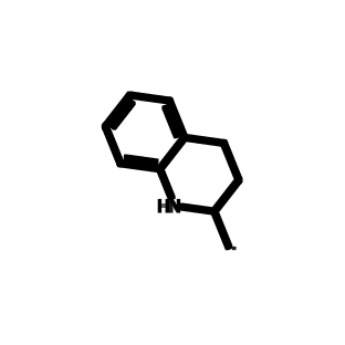 [CH2]C1CCc2ccccc2N1